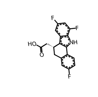 O=C(O)C[C@H]1Cc2cc(F)ccc2-c2[nH]c3c(F)cc(F)cc3c21